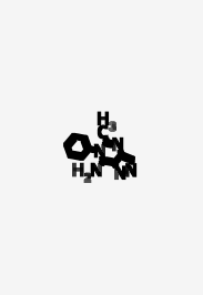 Cc1nc2cnnc-2c(N)n1-c1ccccc1